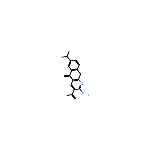 C=C(C)c1cc2c(nc1N)Cc1ccc(C(C)C)cc1C2=C